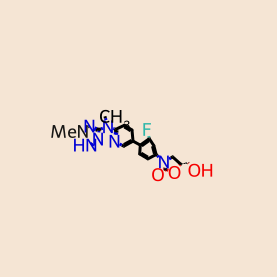 CN/N=C(\N=N)N(C)c1ccc(-c2ccc(N3C[C@H](CO)OC3=O)cc2F)cn1